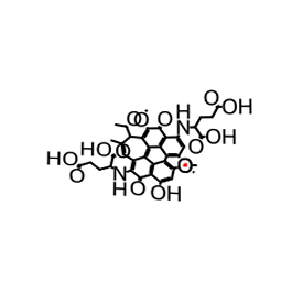 COc1c2c3c4c(c(NC(CCC(=O)O)C(=O)O)c(=O)c5c(O)cc(OC)c(c6c(OC)cc(NC(CCC(=O)O)C(=O)O)c(c1=O)c63)c54)C=C(C)C2C(C)=O